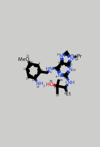 CCC(Nc1nc(NCc2cc(OC)ccc2N)c2ncn(C(C)C)c2n1)C(C)(C)O